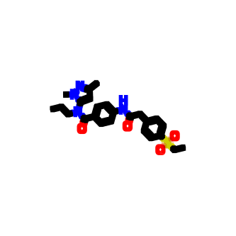 CCCN(C(=O)c1ccc(NC(=O)Cc2ccc(S(=O)(=O)CC)cc2)cc1)c1cc(C)nn1C